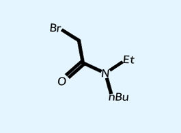 CCCCN(CC)C(=O)CBr